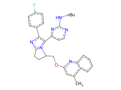 CCCCNc1nccc(-c2c(-c3ccc(F)cc3)nc3n2C(COc2cc(C)c4ccccc4n2)CC3)n1